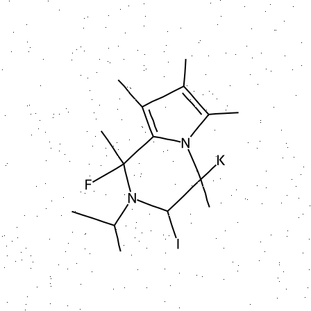 Cc1c(C)c2n(c1C)[C](C)([K])C(I)N(C(C)C)C2(C)F